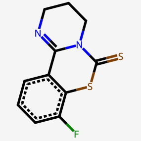 Fc1cccc2c1SC(=S)N1CCCN=C21